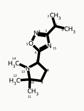 CC(C)c1noc(C2CCC(C)(C)N2C)n1